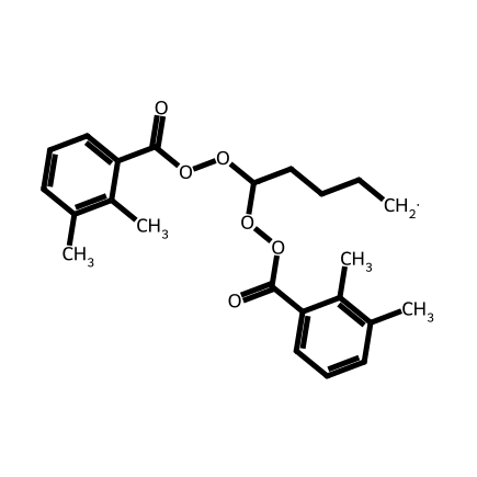 [CH2]CCC[C](OOC(=O)c1cccc(C)c1C)OOC(=O)c1cccc(C)c1C